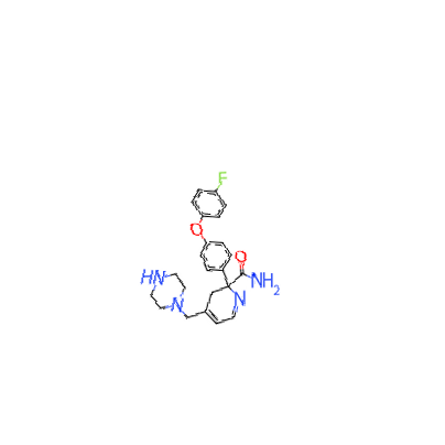 NC(=O)C1(c2ccc(Oc3ccc(F)cc3)cc2)CC(CN2CCNCC2)=CC=N1